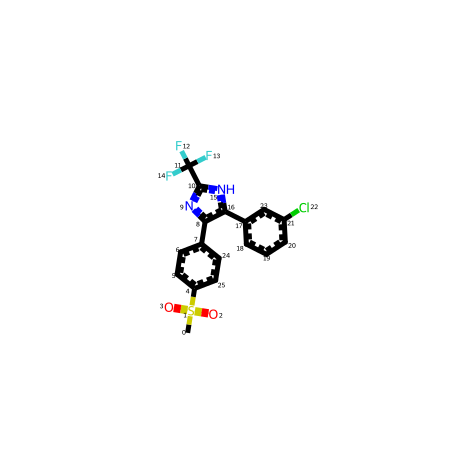 CS(=O)(=O)c1ccc(-c2nc(C(F)(F)F)[nH]c2-c2cccc(Cl)c2)cc1